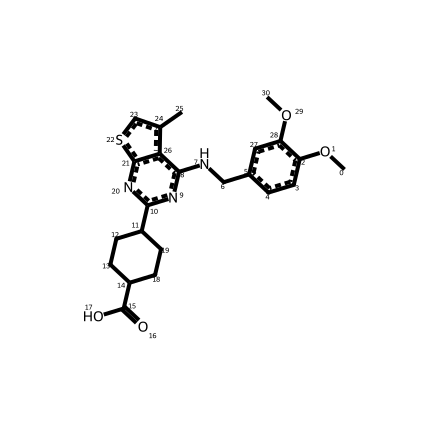 COc1ccc(CNc2nc(C3CCC(C(=O)O)CC3)nc3scc(C)c23)cc1OC